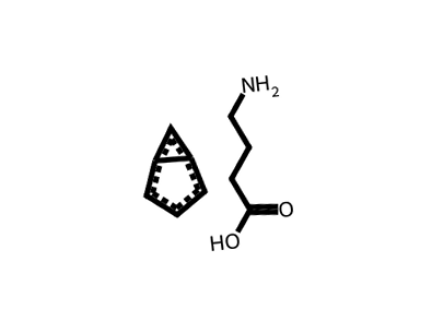 NCCCC(=O)O.c1cc2cc-2c1